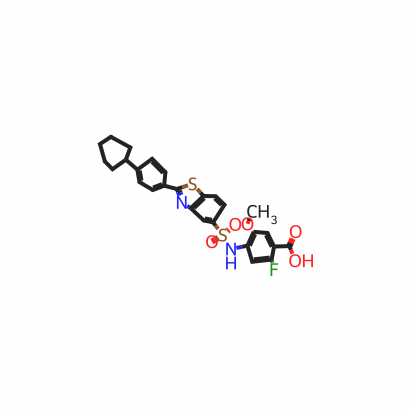 COc1cc(C(=O)O)c(F)cc1NS(=O)(=O)c1ccc2sc(-c3ccc(C4CCCCC4)cc3)nc2c1